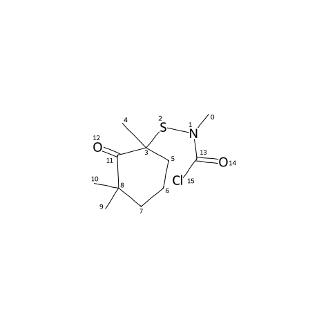 CN(SC1(C)CCCC(C)(C)C1=O)C(=O)Cl